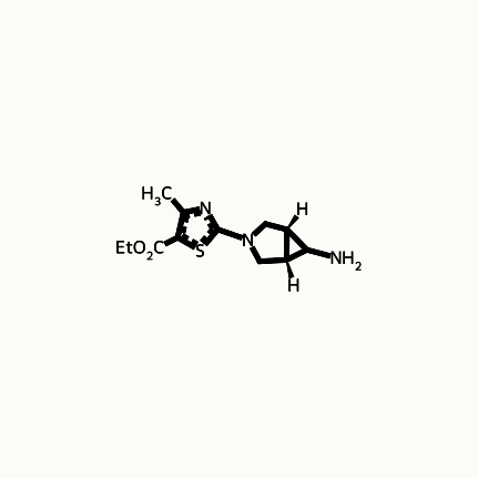 CCOC(=O)c1sc(N2C[C@@H]3C(N)[C@@H]3C2)nc1C